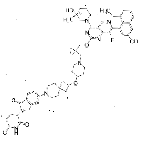 CCc1cccc2cc(O)cc(-c3ncc4c(N5CCC[C@@](C)(O)C5)nc(OCC5(CN6CCC(OC7CC8(CCN(c9ccc%10c(c9)CN(C9CCC(=O)NC9=O)C%10=O)CC8)C7)CC6)CC5)nc4c3F)c12